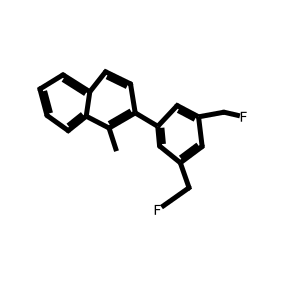 Cc1c(-c2cc(CF)cc(CF)c2)ccc2ccccc12